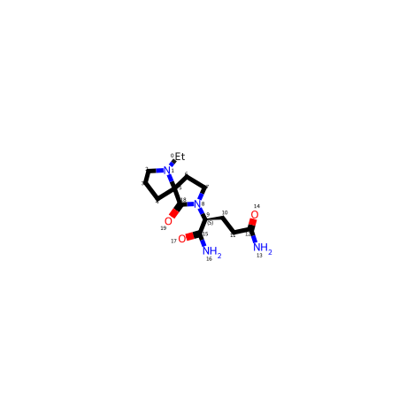 CCN1CCCC12CCN([C@@H](CCC(N)=O)C(N)=O)C2=O